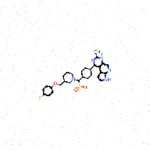 Cc1nc(C2CCC(C(N3CCCC(COc4ccc(F)cc4)C3)[SH](=O)=O)CC2)c2c(cnc3[nH]ccc32)n1